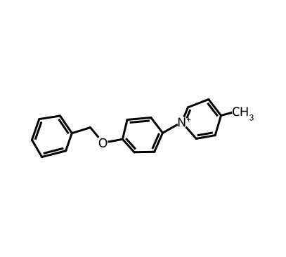 Cc1cc[n+](-c2ccc(OCc3ccccc3)cc2)cc1